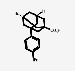 CC(C)c1ccc(C23C[C@@H]4C[C@@H](CC(C(=O)O)(C4)C2)C3)cc1